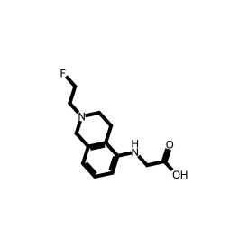 O=C(O)CNc1cccc2c1CCN(CCF)C2